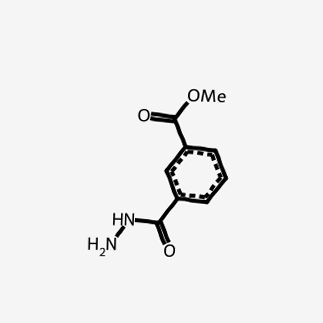 COC(=O)c1cccc(C(=O)NN)c1